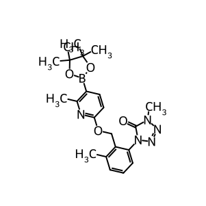 Cc1cccc(-n2nnn(C)c2=O)c1COc1ccc(B2OC(C)(C)C(C)(C)O2)c(C)n1